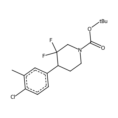 Cc1cc(C2CCN(C(=O)OC(C)(C)C)CC2(F)F)ccc1Cl